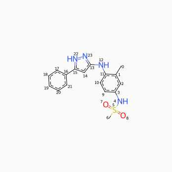 Cc1cc(NS(C)(=O)=O)ccc1Nc1cc(-c2ccccc2)[nH]n1